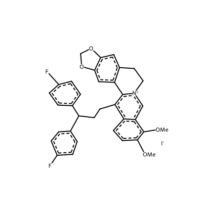 COc1ccc2c(CCC(c3ccc(F)cc3)c3ccc(F)cc3)c3[n+](cc2c1OC)CCc1cc2c(cc1-3)OCO2.[I-]